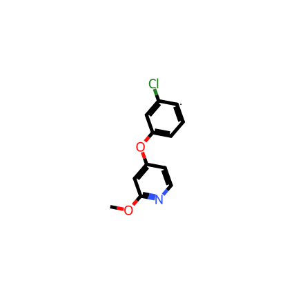 COc1cc(Oc2cc[c]c(Cl)c2)ccn1